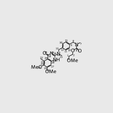 COCCOC(=O)N(C)Cc1ccc(CN(C)c2nc(=O)c3c(C)c(OC)c(OC)cc3[nH]2)cc1